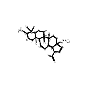 C=C(C)C1CCC2(C=O)CCC3(C)C(CCC4C5(C)CCC(O)C(C)(C)C5CCC43C)C12